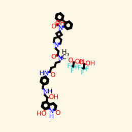 CN(CCCCC(=O)Nc1ccc(CNC[C@H](O)c2ccc(O)c3[nH]c(=O)ccc23)cc1)C(=O)CCN1CCC2(CC1)CC(N(C(=O)O)c1ccccc1-c1ccccc1)C2.O=C(O)C(F)(F)F.O=C(O)C(F)(F)F